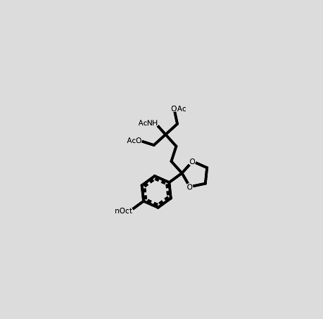 CCCCCCCCc1ccc(C2(CCC(COC(C)=O)(COC(C)=O)NC(C)=O)OCCO2)cc1